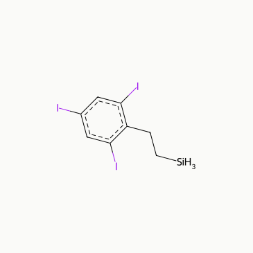 [SiH3]CCc1c(I)cc(I)cc1I